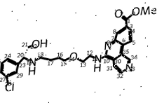 COC(=O)c1ccc2c(c1)nc(NCCOCCCCN[C@@H](CO)c1cccc(Cl)c1)c1ccncc12